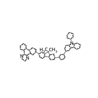 CC1(C)c2cc(-c3cccc(-c4ccc5c(c4)c4ccccc4n5-c4ccccc4)c3)ccc2-c2ccc(-c3ccc4c5ccccc5c5nccnc5c4c3)cc21